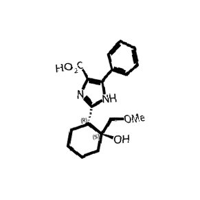 COC[C@]1(O)CCCC[C@@H]1c1nc(C(=O)O)c(-c2ccccc2)[nH]1